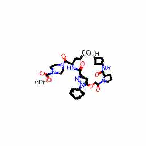 CCCOC(=O)N1CCN(C(=O)C(CCC(=O)O)NC(=O)c2cc(OCC(=O)N3CCCC3C(=O)NC3CCC3)n(-c3ccccc3)n2)CC1